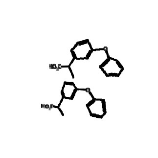 CC(C(=O)O)c1cccc(Oc2ccccc2)c1.CC(C(=O)O)c1cccc(Oc2ccccc2)c1